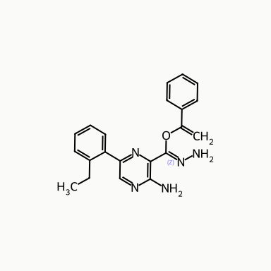 C=C(O/C(=N\N)c1nc(-c2ccccc2CC)cnc1N)c1ccccc1